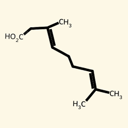 CC(C)=CCCC=C(C)CC(=O)O